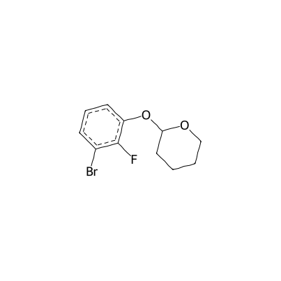 Fc1c(Br)cccc1OC1CCCCO1